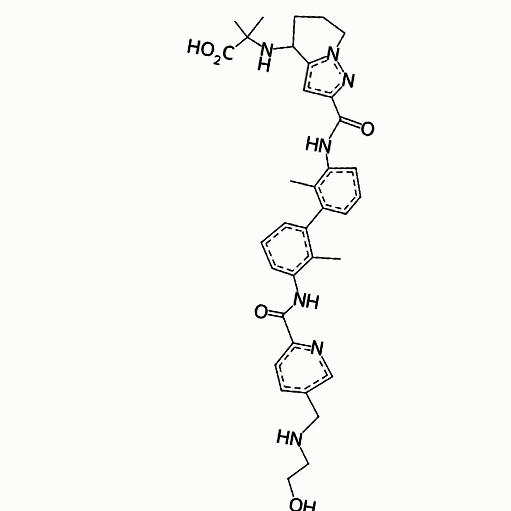 Cc1c(NC(=O)c2ccc(CNCCO)cn2)cccc1-c1cccc(NC(=O)c2cc3n(n2)CCCC3NC(C)(C)C(=O)O)c1C